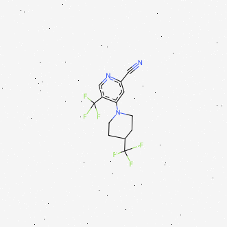 N#Cc1cc(N2CCC(C(F)(F)F)CC2)c(C(F)(F)F)cn1